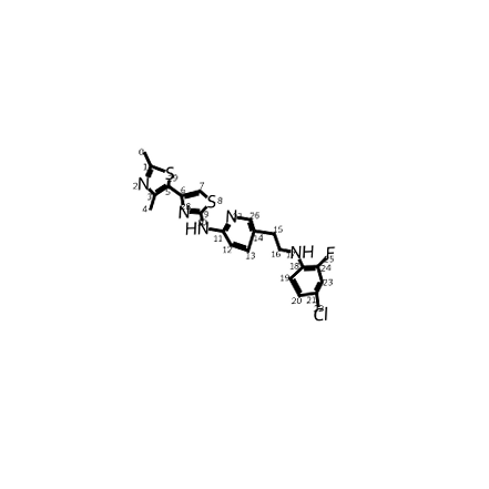 Cc1nc(C)c(-c2csc(Nc3ccc(CCNc4ccc(Cl)cc4F)cn3)n2)s1